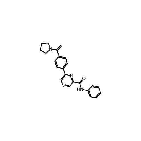 C=C(c1ccc(-c2cncc(C(=O)Nc3ccccc3)n2)cc1)N1CCCC1